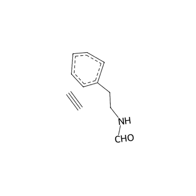 C#C.O=CNCCc1ccccc1